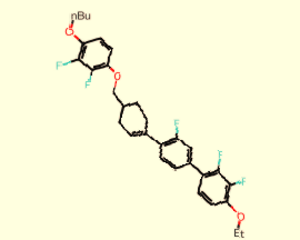 CCCCOc1ccc(OCC2CC=C(c3ccc(-c4ccc(OCC)c(F)c4F)cc3F)CC2)c(F)c1F